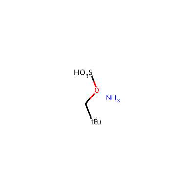 CC(C)(C)COS(=O)(=O)O.N